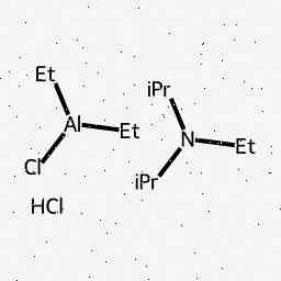 C[CH2][Al]([Cl])[CH2]C.Cl.[CH2]CN(C(C)C)C(C)C